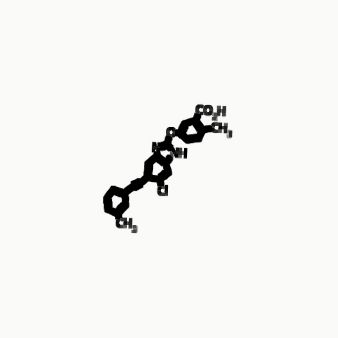 Cc1cccc(C#Cc2cc3nc(Oc4ccc(C)c(C(=O)O)c4)[nH]c3cc2Cl)c1